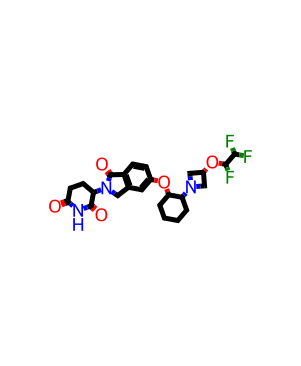 O=C1CCC(N2Cc3cc(OC4CCCCC4N4CC(OC(F)C(F)F)C4)ccc3C2=O)C(=O)N1